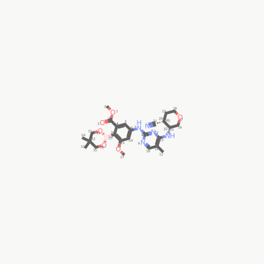 COC(=O)c1cc(Nc2ncc(C)c(N[C@@H]3COCC[C@H]3C#N)n2)cc(OC)c1B1OCC(C)(C)CO1